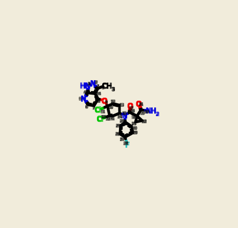 Cc1n[nH]c2nccc(OC3(Cl)C=CC(N(C(=O)C4(C(N)=O)CC4)c4ccc(F)cc4)C=C3Cl)c12